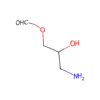 NCC(O)COC=O